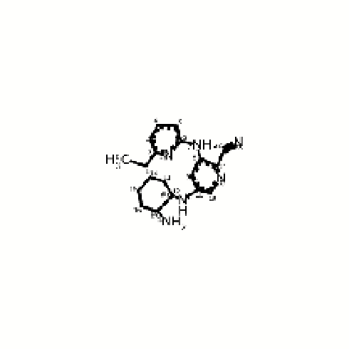 CCc1cccc(Nc2cc(N[C@@H]3CCCC[C@@H]3N)cnc2C#N)n1